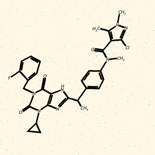 Cc1c(C(=O)N(C)c2ccc(C(C)c3nc4c([nH]3)c(=O)n(Cc3ccccc3F)c(=O)n4C3CC3)cc2)c(Cl)nn1C